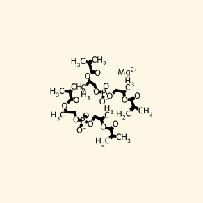 C=C(C)C(=O)OC(C)COP(=O)([O-])OCC(C)OC(=O)C(=C)C.C=C(C)C(=O)OC(C)COP(=O)([O-])OCC(C)OC(=O)C(=C)C.[Mg+2]